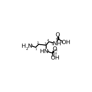 NCCC(CNC(=O)O)NC(=O)O